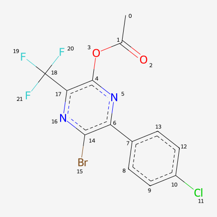 CC(=O)Oc1nc(-c2ccc(Cl)cc2)c(Br)nc1C(F)(F)F